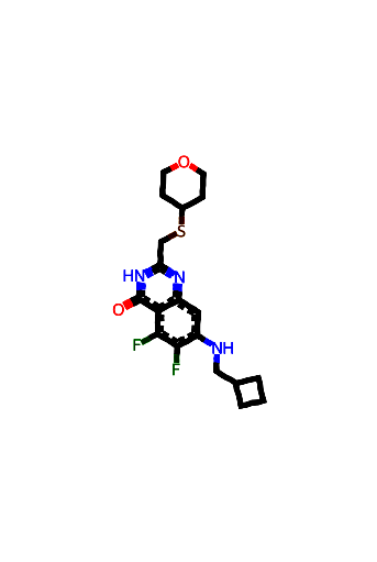 O=c1[nH]c(CSC2CCOCC2)nc2cc(NCC3CCC3)c(F)c(F)c12